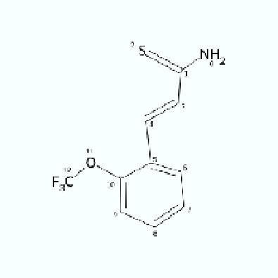 NC(=S)/C=C/c1ccccc1OC(F)(F)F